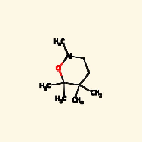 [CH3][Al]1[CH2]CC(C)(C)C(C)(C)[O]1